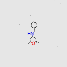 CC1CC(NCc2ccccc2)CC(C)O1